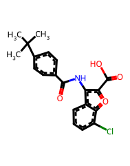 CC(C)(C)c1ccc(C(=O)Nc2c(C(=O)O)oc3c(Cl)cccc23)cc1